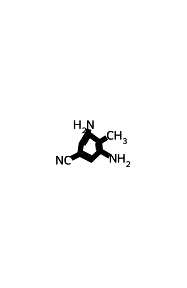 Cc1c(N)cc(C#N)cc1N